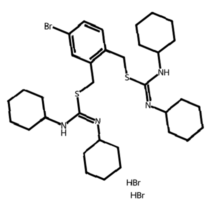 Br.Br.Brc1ccc(CS/C(=N/C2CCCCC2)NC2CCCCC2)c(CSC(=NC2CCCCC2)NC2CCCCC2)c1